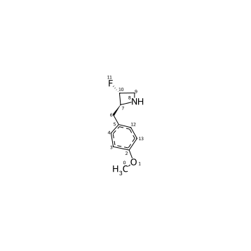 COc1ccc(C[C@@H]2NC[C@H]2F)cc1